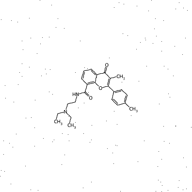 CCN(CC)CCNC(=O)c1cccc2c(=O)c(C)c(-c3ccc(C)cc3)oc12